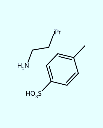 CC(C)CCN.Cc1ccc(S(=O)(=O)O)cc1